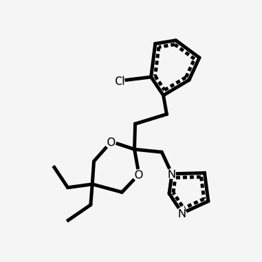 CCC1(CC)COC(CCc2ccccc2Cl)(Cn2ccnc2)OC1